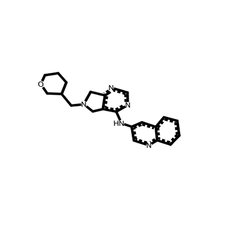 c1ccc2ncc(Nc3ncnc4c3CN(CC3CCCOC3)C4)cc2c1